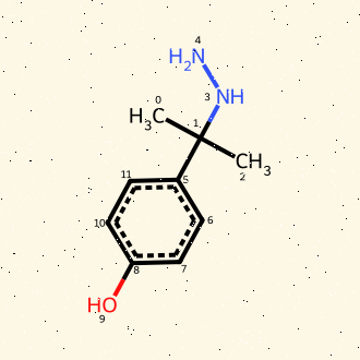 CC(C)(NN)c1ccc(O)cc1